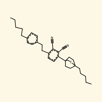 CCCCCc1ccc(CCc2ccc(C34CCC(CCCCC)(CC3)CC4)c(C#N)c2C#N)cc1